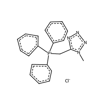 Cn1nnnc1C[P+](c1ccccc1)(c1ccccc1)c1ccccc1.[Cl-]